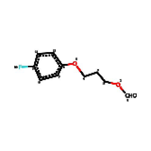 O=COCCCOc1ccc(F)cc1